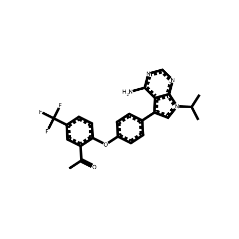 CC(=O)c1cc(C(F)(F)F)ccc1Oc1ccc(-c2cn(C(C)C)c3ncnc(N)c23)cc1